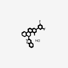 Cc1cc(-c2cc(F)cc(F)c2)cc2ccc3c(c12)CC(c1cc2ccccc2nn1)C1=C3C=CCC1.Cl